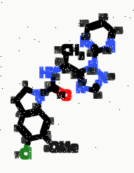 COc1cc2c(cc1Cl)CCN2C(=O)N[C@@H](C)c1ncnn1-c1ncccn1